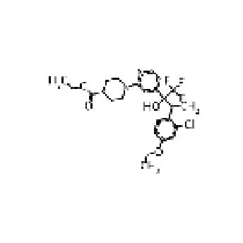 CCOC(=O)C1CCN(c2cc(C(O)(C(C)c3ccc(OCC)cc3Cl)C(F)(F)F)ccn2)CC1